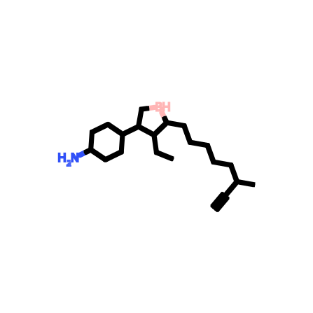 C#CC(C)CCCCCC1BCC(C2CCC(N)CC2)C1CC